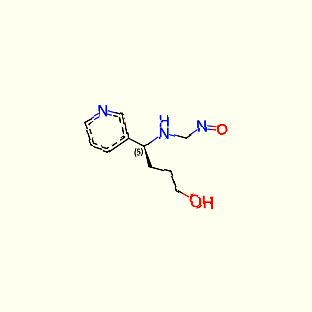 O=NCN[C@@H](CCCO)c1cccnc1